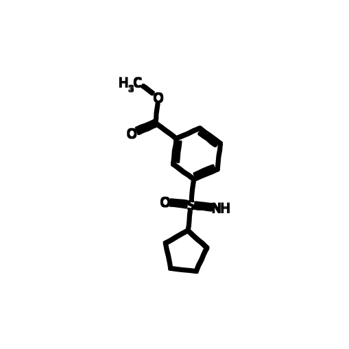 COC(=O)c1cccc(S(=N)(=O)C2CCCC2)c1